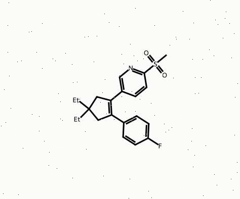 CCC1(CC)CC(c2ccc(F)cc2)=C(c2ccc(S(C)(=O)=O)nc2)C1